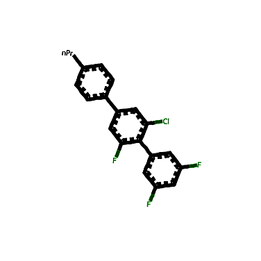 CCCc1ccc(-c2cc(F)c(-c3cc(F)cc(F)c3)c(Cl)c2)cc1